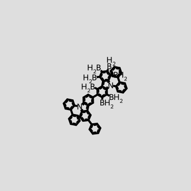 Bc1c(B)c(B)c2c(c1B)c1c(B)c(-c3ccc4c(c3)c3cc(-c5ccccc5)ccc3n4-c3ccccc3-c3ccccc3)c(B)c(B)c1n2-c1ccccc1-c1ccccc1